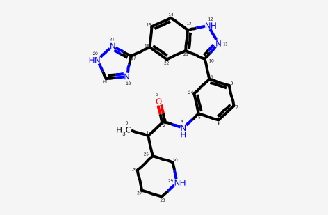 CC(C(=O)Nc1cccc(-c2n[nH]c3ccc(-c4nc[nH]n4)cc23)c1)C1CCCNC1